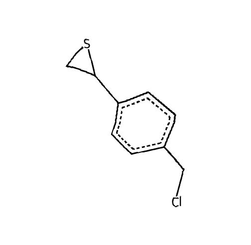 ClCc1ccc(C2CS2)cc1